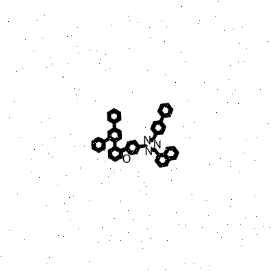 c1ccc(-c2ccc(-c3nc(-c4ccc5c(c4)oc4cccc(-c6ccc(-c7ccccc7)cc6-c6ccccc6)c45)nc(-c4cccc5ccccc45)n3)cc2)cc1